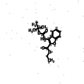 CCOC(=O)c1oc2ccccc2c1NC(=O)OC(C)(C)C